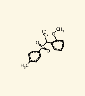 [C-]#[N+]C(c1ccccc1OC)S(=O)(=O)c1ccc(C)cc1